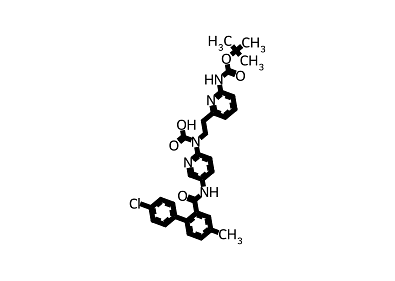 Cc1ccc(-c2ccc(Cl)cc2)c(C(=O)Nc2ccc(N(CCc3cccc(NC(=O)OC(C)(C)C)n3)C(=O)O)nc2)c1